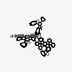 CCCCCCCC1(CCCCCCC)c2cc(N(c3ccc4c(c3)C(C)(C)c3cc(-c5ccccc5)c5oc6ccccc6c5c3-4)c3ccc4c(c3)C3(c5ccccc5-c5ccccc53)c3cc5c(cc3-4)C3(c4ccccc4-c4ccccc43)c3ccc4oc6ccccc6c4c3-5)ccc2-c2c1c1c(c3c2oc2ccccc23)-c2ccccc2C1(CCCCCCC)CCCCCCC